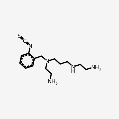 NCCNCCCN(CCN)Cc1ccccc1N=C=S